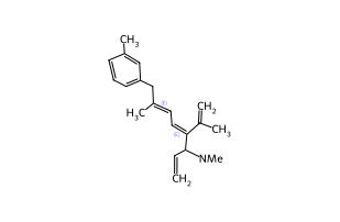 C=CC(NC)/C(=C/C=C(\C)Cc1cccc(C)c1)C(=C)C